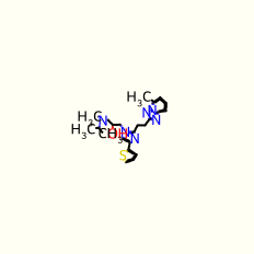 Cc1cccc2nc(CCc3nc(-c4cccs4)cn3CC(O)CN(C)C(C)C)nn12